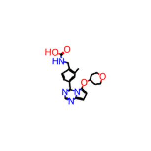 Cc1cc(-c2ncnc3ccc(OC4CCOCC4)n23)ccc1CNC(=O)O